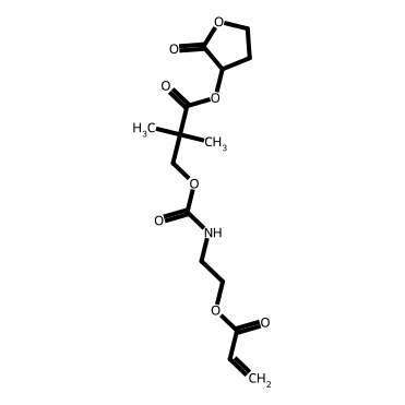 C=CC(=O)OCCNC(=O)OCC(C)(C)C(=O)OC1CCOC1=O